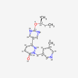 CC[C@H](C)Oc1ncc(-c2ccc(=O)n(Cc3cncc(C)c3)n2)cn1